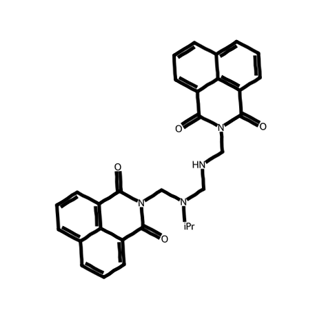 CC(C)N(CNCN1C(=O)c2cccc3cccc(c23)C1=O)CN1C(=O)c2cccc3cccc(c23)C1=O